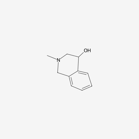 CN1Cc2ccccc2C(O)C1